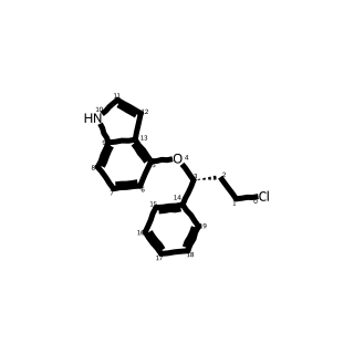 ClCC[C@@H](Oc1cccc2[nH]ccc12)c1ccccc1